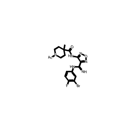 CC(=O)N1CCC(C)(C(=O)Nc2nonc2C(=N)Nc2ccc(F)c(Br)c2)CC1